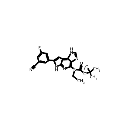 CCN(C(=O)OC(C)(C)C)c1nc2[nH]c(-c3cc(F)cc(C#N)c3)cc2c2[nH]cnc12